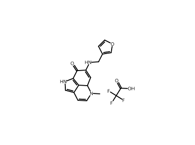 CN1C=Cc2c[nH]c3c2C1C=C(NCc1ccoc1)C3=O.O=C(O)C(F)(F)F